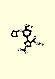 CCC(=O)N1CC(C(=O)OC)C(c2ccc(OC)c(OC3CCCC3)c2)C1